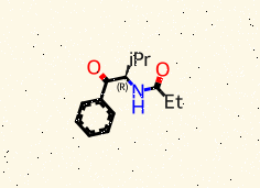 CCC(=O)N[C@@H](C(=O)c1ccccc1)C(C)C